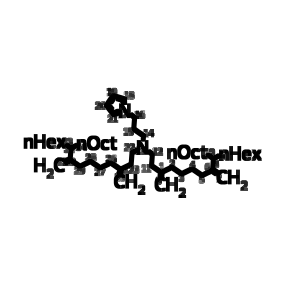 C=C(CCCCC(=C)C(CCCCCC)CCCCCCCC)CCN(CCCn1cccc1)CCC(=C)CCCCC(=C)C(CCCCCC)CCCCCCCC